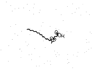 CCCCCCCCCCCCCCCC(OC(=O)CCC(=O)O)C(C)C